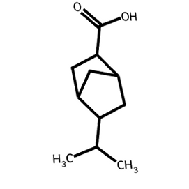 CC(C)C1CC2CC1CC2C(=O)O